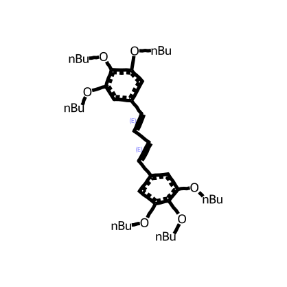 CCCCOc1cc(/C=C/C=C/c2cc(OCCCC)c(OCCCC)c(OCCCC)c2)cc(OCCCC)c1OCCCC